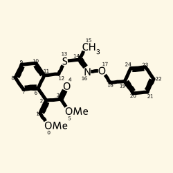 COC=C(C(=O)OC)c1ccccc1CSC(C)=NOCc1ccccc1